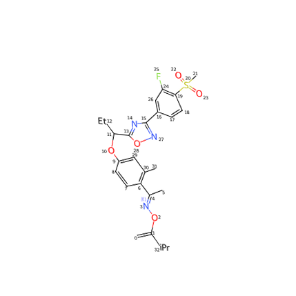 C=C(O/N=C(\C)c1ccc(OC(CC)c2nc(-c3ccc(S(C)(=O)=O)c(F)c3)no2)cc1C)C(C)C